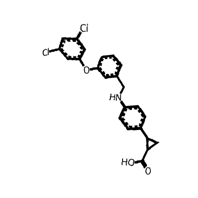 O=C(O)C1CC1c1ccc(NCc2cccc(Oc3cc(Cl)cc(Cl)c3)c2)cc1